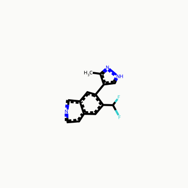 Cc1n[nH]cc1-c1cc2cnccc2cc1C(F)F